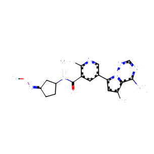 CCON=C1CCC(NC(=O)c2cc(-c3cc(C(F)(F)F)c4c(N)ncnn34)cnc2OC)C1